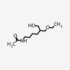 CCOCC(CO)CCCCNC(C)=O